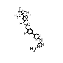 Cn1cnc(Nc2ncc(-c3ccc(CC(=O)Nc4cc(C(C)(C)C(F)(F)F)on4)c(F)c3)cn2)c1